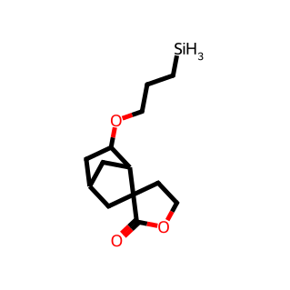 O=C1OCCC12CC1CC(OCCC[SiH3])C2C1